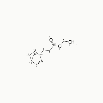 CCOC(=O)CCC12C=CC(CC1)C2